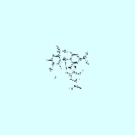 Cc1cc([N+](=O)[O-])cc(C[N+](C)(Cc2cc([N+](=O)[O-])cc(C)c2O)Cc2cc([N+](=O)[O-])cc(C)c2O)c1O.[I-]